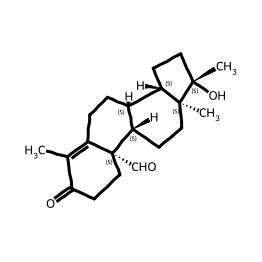 CC1=C2CC[C@@H]3[C@H](CC[C@@]4(C)[C@H]3CC[C@]4(C)O)[C@@]2(C=O)CCC1=O